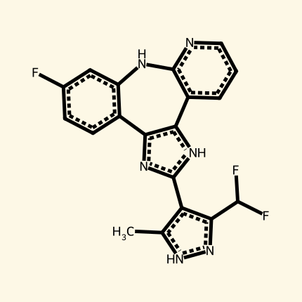 Cc1[nH]nc(C(F)F)c1-c1nc2c([nH]1)-c1cccnc1Nc1cc(F)ccc1-2